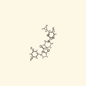 O=C1N2C(CCC2c2cc(F)cc(F)c2)OC12CCN(c1ncc(F)c(C3CC3)n1)CC2